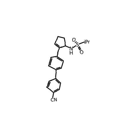 CC(C)S(=O)(=O)NC1CCC=C1c1ccc(-c2ccc(C#N)cc2)cc1